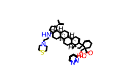 C=C(C)[C@@H]1CC[C@]2(NCCN3CCSCC3)CC[C@]3(C)[C@H](CC[C@@H]4[C@@]5(C)CC=C(C6(CC)C=CCCC6(COc6cccnn6)C(=O)O)C(C)(C)[C@@H]5CC[C@]43C)[C@@H]12